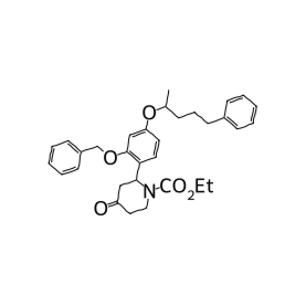 CCOC(=O)N1CCC(=O)CC1c1ccc(OC(C)CCCc2ccccc2)cc1OCc1ccccc1